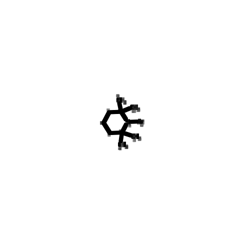 CC(=O)N1C(C)(C)[CH]CCC1(C)C